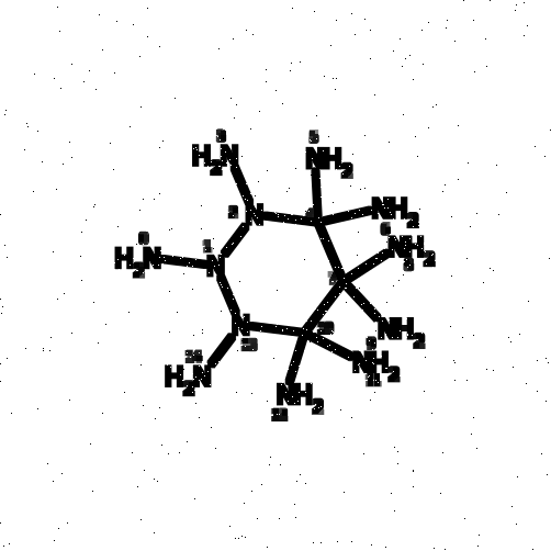 NN1N(N)C(N)(N)C(N)(N)C(N)(N)N1N